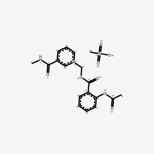 CNC(=O)c1ccc[n+](COC(=O)c2ccccc2OC(C)=O)c1.CS(=O)(=O)[O-]